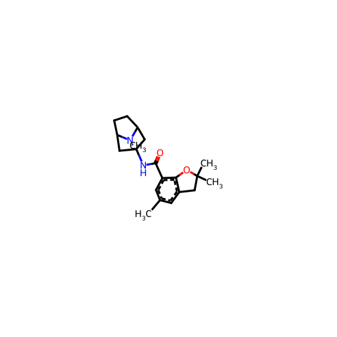 Cc1cc2c(c(C(=O)NC3CC4CCC(C3)N4C)c1)OC(C)(C)C2